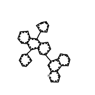 c1ccc(-c2c3ccccc3c(-c3ccccc3)c3cc(-c4cc5ncccc5c5ccccc45)ccc23)cc1